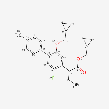 CC(C)CC(C(=O)OCC1CC1)c1cc(OCC2CC2)c(-c2ccc(C(F)(F)F)cc2)cc1F